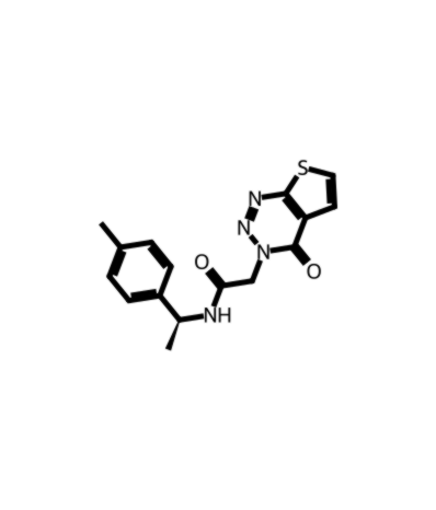 Cc1ccc([C@H](C)NC(=O)Cn2nnc3sccc3c2=O)cc1